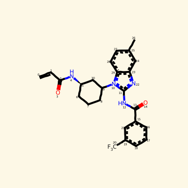 C=CC(=O)N[C@@H]1CCCC(n2c(NC(=O)c3cccc(C(F)(F)F)c3)nc3cc(C)ccc32)C1